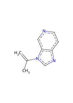 C=C(C)n1cnc2ccncc21